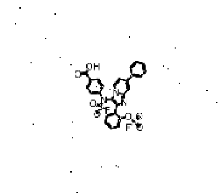 O=C(O)c1ccc(N(c2c(-c3ccccc3OS(=O)(=O)F)nc3cc(-c4ccccc4)ccn23)S(=O)(=O)F)cc1